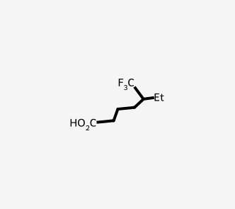 CCC(CCCC(=O)O)C(F)(F)F